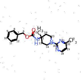 CC1(NC(=O)OCc2ccccc2)CCN(c2nccc(C(F)(F)F)n2)CC1